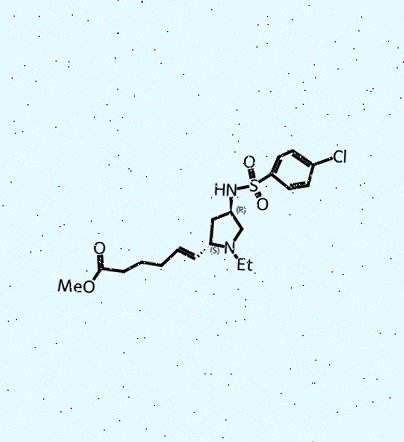 CCN1C[C@H](NS(=O)(=O)c2ccc(Cl)cc2)C[C@H]1C=CCCCC(=O)OC